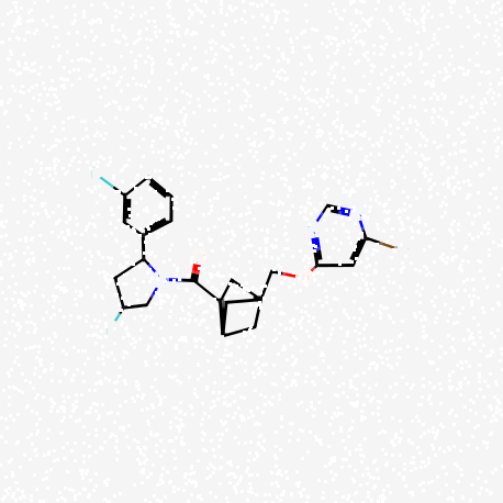 O=C([C@H]1CC2(COc3cc(Br)ncn3)CC1C2)N1CC(F)CC1c1cccc(F)c1